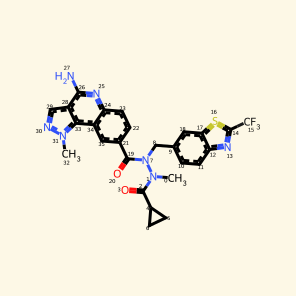 CN(C(=O)C1CC1)N(Cc1ccc2nc(C(F)(F)F)sc2c1)C(=O)c1ccc2nc(N)c3cnn(C)c3c2c1